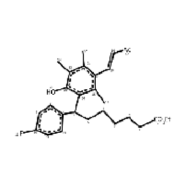 CCOC(=O)CCCCCC(c1ccc(F)cc1)c1c(C)c(/C=C/C(C)=O)c(C)c(C)c1O